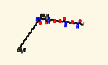 O=C(O)CCCCCCCCCCCCCCCC(=O)N[C@@H](CCC(=O)NCCOCCOCC(=O)NCCOCCNC(=O)CI)C(=O)O